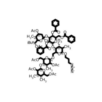 CC[C@@H](C)[C@@H](OC(C)=O)C1O[C@](C)(O[C@@H]2C(OC(=O)c3ccccc3)[C@H](O[C@@H]3C(CO[C@@H]4OC(COC(C)=O)[C@@H](O[C@@H]5OC(COC(C)=O)[C@H](C)[C@H](C)C5OC(C)=O)[C@H](C)C4OC(C)=O)O[C@@H](OCCCN=[N+]=[N-])C(C)[C@H]3C)OC(COC(=O)c3ccccc3)[C@@H]2OC(=O)c2ccccc2)C[C@@H](OC(C)=O)[C@H]1C